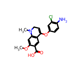 COc1cc2c(cc1C(=O)O)C(Oc1ccc(N)c(Cl)c1)=CCN2C